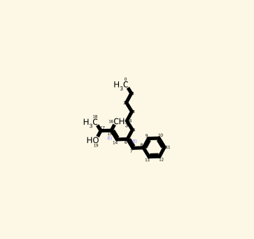 CCCCCCC(=C\c1ccccc1)/C=C(\C)C(C)O